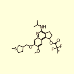 COc1cc2c3c(c(NC(C)C)nc2cc1OCC1CCN(C)C1)CCC3OC(=O)C(F)(F)F